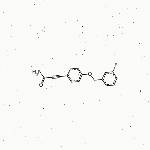 NC(=O)C#Cc1ccc(OCc2cccc(F)c2)cc1